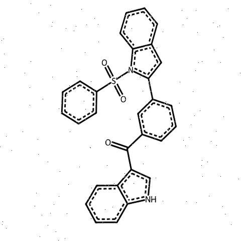 O=C(c1cccc(-c2cc3ccccc3n2S(=O)(=O)c2ccccc2)c1)c1c[nH]c2ccccc12